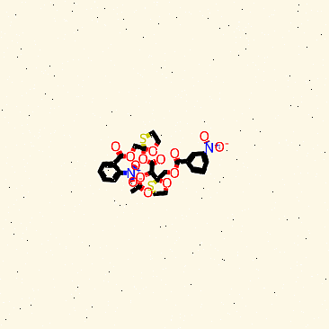 CC(=O)OC(C(=O)OC1(COC(=O)c2ccccc2[N+](=O)[O-])OCCS1)C1(COC(=O)c2cccc([N+](=O)[O-])c2)OCCS1